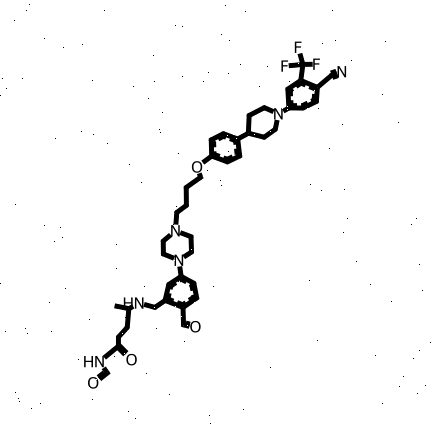 CC(CCC(=O)NC=O)NCc1cc(N2CCN(CCCCOc3ccc(C4CCN(c5ccc(C#N)c(C(F)(F)F)c5)CC4)cc3)CC2)ccc1C=O